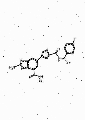 CC[C@H](NC(=O)c1cc(-c2cc(C(=O)N[C@@H](C)CC)n3nc(N)nc3c2)cs1)c1ccc(F)cc1